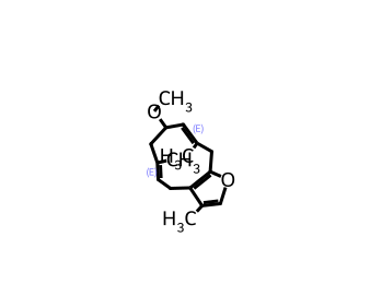 COC1/C=C(\C)Cc2occ(C)c2C/C=C(\C)C1